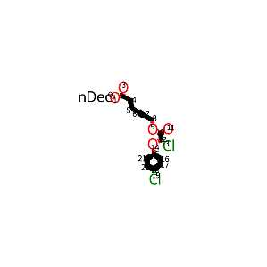 CCCCCCCCCCOC(=O)C=CC#CCOC(=O)C(Cl)Oc1ccc(Cl)cc1